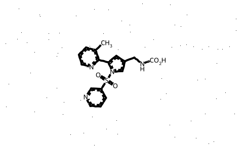 Cc1cccnc1-c1cc(CNC(=O)O)cn1S(=O)(=O)c1cccnc1